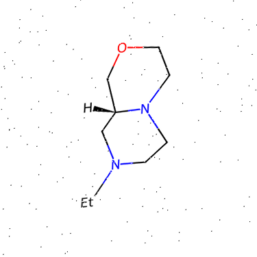 CCN1CCN2CCOC[C@H]2C1